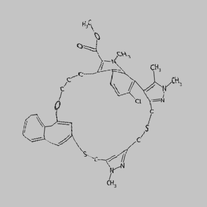 COC(=O)c1c2c3ccc(Cl)c(c3n1C)-c1c(nn(C)c1C)CSCc1cc(n(C)n1)CSc1cc(c3ccccc3c1)OCCC2